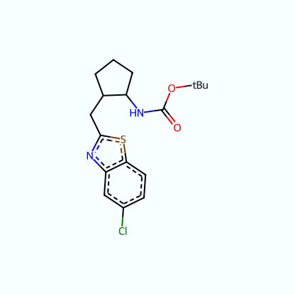 CC(C)(C)OC(=O)NC1CCCC1Cc1nc2cc(Cl)ccc2s1